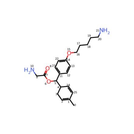 CC1=CCC(C(OC(=O)CN)c2ccc(OCCCCCN)cc2)C=C1